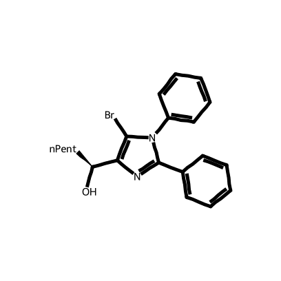 CCCCC[C@H](O)c1nc(-c2ccccc2)n(-c2ccccc2)c1Br